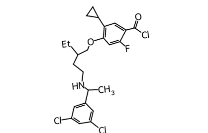 CCC(CCNC(C)c1cc(Cl)cc(Cl)c1)COc1cc(F)c(C(=O)Cl)cc1C1CC1